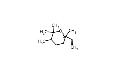 C=C[Si]1(C)CCC(C)C(C)(C)O1